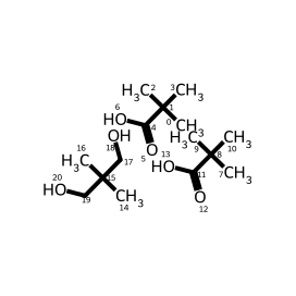 CC(C)(C)C(=O)O.CC(C)(C)C(=O)O.CC(C)(CO)CO